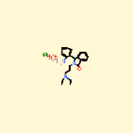 CCN(CC)CCCN1C(=O)c2ccccc2C1c1ccccc1N.Cl.Cl.O.O